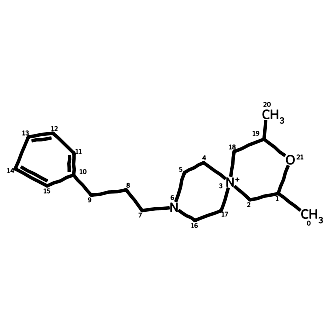 CC1C[N+]2(CCN(CCCc3ccccc3)CC2)CC(C)O1